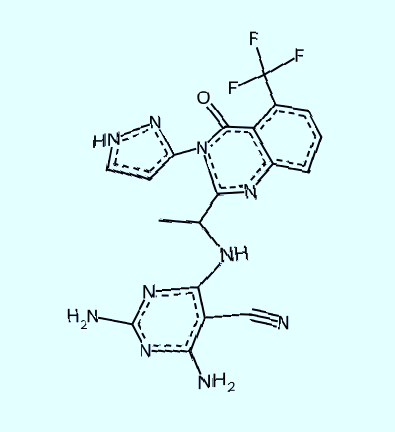 CC(Nc1nc(N)nc(N)c1C#N)c1nc2cccc(C(F)(F)F)c2c(=O)n1-c1cc[nH]n1